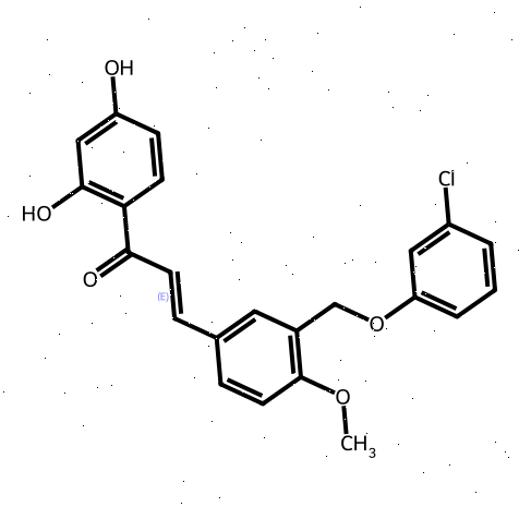 COc1ccc(/C=C/C(=O)c2ccc(O)cc2O)cc1COc1cccc(Cl)c1